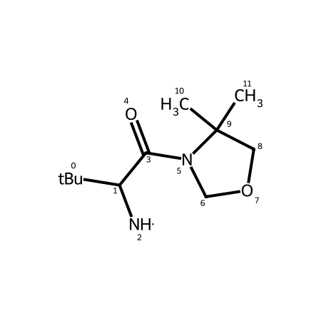 CC(C)(C)C([NH])C(=O)N1COCC1(C)C